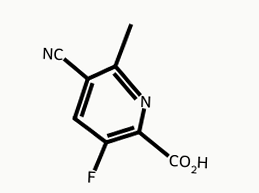 Cc1nc(C(=O)O)c(F)cc1C#N